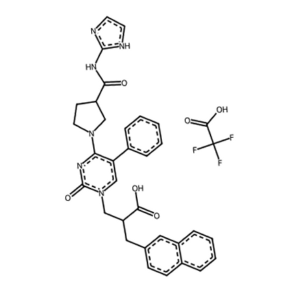 O=C(O)C(Cc1ccc2ccccc2c1)Cn1cc(-c2ccccc2)c(N2CCC(C(=O)Nc3ncc[nH]3)C2)nc1=O.O=C(O)C(F)(F)F